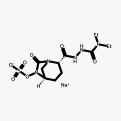 CCN(CC)C(=O)NNC(=O)[C@@H]1CC[C@@H]2CN1C(=O)N2OS(=O)(=O)[O-].[Na+]